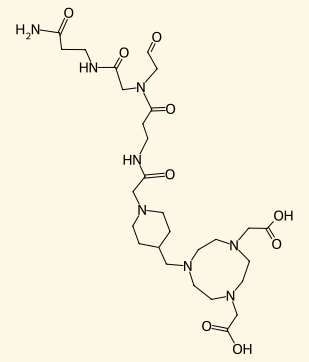 NC(=O)CCNC(=O)CN(CC=O)C(=O)CCNC(=O)CN1CCC(CN2CCN(CC(=O)O)CCN(CC(=O)O)CC2)CC1